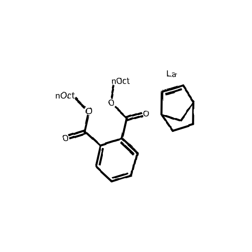 C1=CC2CCC1C2.CCCCCCCCOC(=O)c1ccccc1C(=O)OCCCCCCCC.[La]